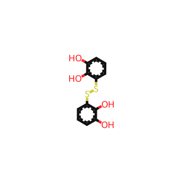 Oc1cccc(SSc2cccc(O)c2O)c1O